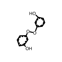 Oc1cccc(OOc2cccc(O)c2)c1